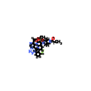 C=CC(=O)N1C[C@@H]2CN(c3c(S(C)(=O)=O)c(=O)n(-c4c(C5CC5)ncnc4C4CC4)c4nc(-c5c(N)cccc5F)c(F)cc34)C[C@@H]2C1